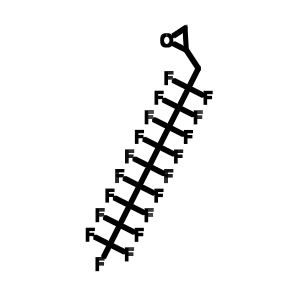 FC(F)(F)C(F)(F)C(F)(F)C(F)(F)C(F)(F)C(F)(F)C(F)(F)C(F)(F)C(F)(F)CC1CO1